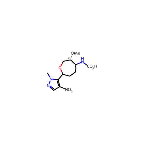 CO[C@H]1COC(c2c([N+](=O)[O-])cnn2C)CCC1NC(=O)O